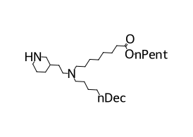 CCCCCCCCCCCCCCN(CCCCCCCC(=O)OCCCCC)CCC1CCCNC1